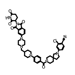 N#Cc1ccc(N2CCC3(CCN(C(=O)c4ccc(N5CCC(CN6CCN(c7ccc8c(c7)C(=O)N(C7CCC(=O)NC7=O)C8=O)CC6)CC5)cc4)CC3)C2)cc1Cl